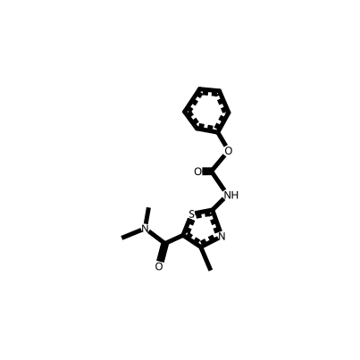 Cc1nc(NC(=O)Oc2ccccc2)sc1C(=O)N(C)C